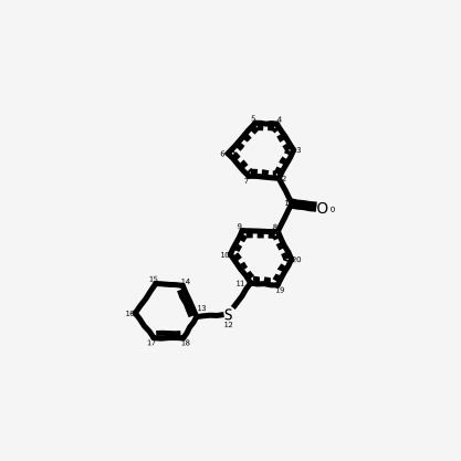 O=C(c1ccccc1)c1ccc(SC2=CC[CH]C=C2)cc1